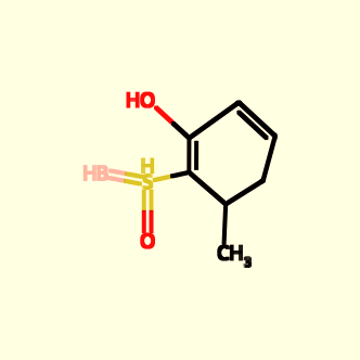 B=[SH](=O)C1=C(O)C=CCC1C